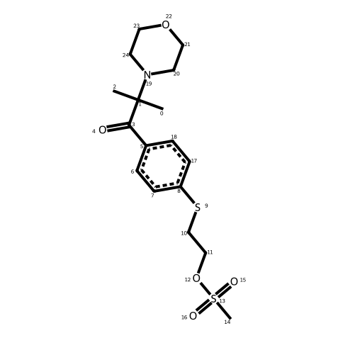 CC(C)(C(=O)c1ccc(SCCOS(C)(=O)=O)cc1)N1CCOCC1